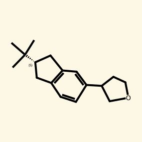 CC(C)(C)[C@H]1Cc2ccc(C3CCOC3)cc2C1